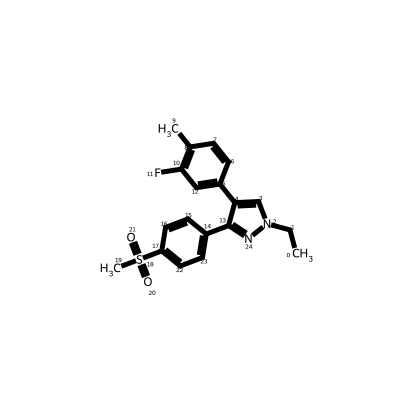 CCn1cc(-c2ccc(C)c(F)c2)c(-c2ccc(S(C)(=O)=O)cc2)n1